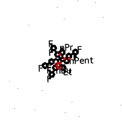 CCCCCc1ccc(C(C(Cc2ccc(-c3ccc(F)cc3F)cc2)c2ccc(CC)cc2)C(c2ccc(-c3ccc(F)cc3F)cc2)(C(Cc2ccc(-c3ccc(F)cc3F)cc2)c2ccc(CCC)cc2)C(Cc2ccc(-c3ccc(F)cc3F)cc2)c2ccc(CCCC)cc2)cc1